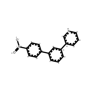 O=[N+]([O-])c1ccc(-c2cccc(-c3cccnc3)c2)cc1